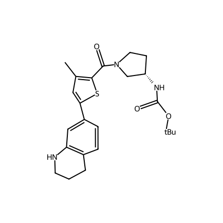 Cc1cc(-c2ccc3c(c2)NCCC3)sc1C(=O)N1CC[C@H](NC(=O)OC(C)(C)C)C1